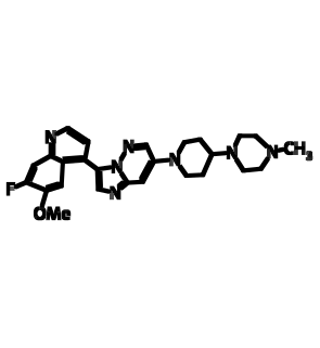 COc1cc2c(-c3cnc4cc(N5CCC(N6CCN(C)CC6)CC5)cnn34)ccnc2cc1F